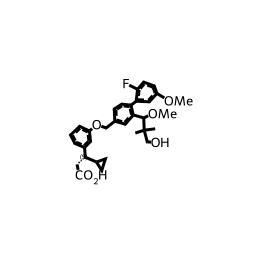 COc1ccc(F)c(-c2ccc(COc3cccc([C@@H](CC(=O)O)C4CC4)c3)cc2C(OC)C(C)(C)CO)c1